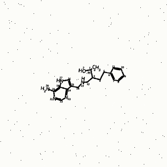 C[C@@H](O)C(CCc1ccccc1)CNCc1c[nH]c2c(N)ncnc12